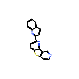 c1ccc2nc(-c3ccc4sc5ccncc5c4n3)ccc2c1